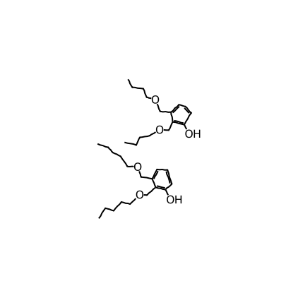 CCCCCOCc1cccc(O)c1COCCCCC.CCCCOCc1cccc(O)c1COCCCC